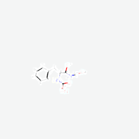 O=C=NC(=O)[C@H](Cc1ccccc1)NC(=O)O